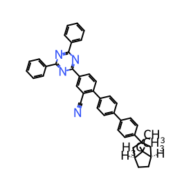 CC1(c2ccc(-c3ccc(-c4ccc(-c5nc(-c6ccccc6)nc(-c6ccccc6)n5)cc4C#N)cc3)cc2)C[C@H]2CC[C@@H](C1)C2(C)C